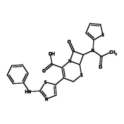 CC(=O)N(c1cccs1)C1C(=O)N2C(C(=O)O)=C(c3cnc(Nc4ccccc4)s3)CSC12